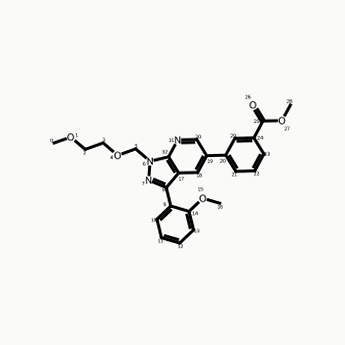 COCCOCn1nc(-c2ccccc2OC)c2cc(-c3cccc(C(=O)OC)c3)cnc21